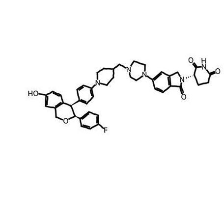 O=C1CC[C@H](N2Cc3cc(N4CCN(CC5CCN(c6ccc([C@@H]7c8ccc(O)cc8CO[C@@H]7c7ccc(F)cc7)cc6)CC5)CC4)ccc3C2=O)C(=O)N1